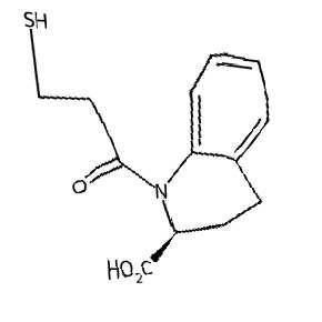 O=C(O)[C@@H]1CCc2ccccc2N1C(=O)CCS